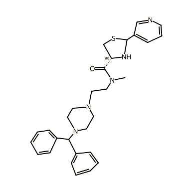 CN(CCN1CCN(C(c2ccccc2)c2ccccc2)CC1)C(=O)[C@@H]1CSC(c2cccnc2)N1